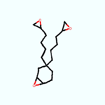 C(CCC1(CCCCC2CO2)CCC2OC2C1)CC1CO1